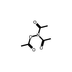 CC(=O)ON(C(C)=O)C(C)=O